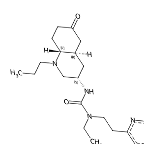 CCCN1C[C@@H](NC(=O)N(CC)CCc2ccccn2)C[C@@H]2CC(=O)CC[C@H]21